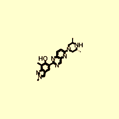 Cc1c(O)c(-c2ncc3nc(N4C[C@@H](C)N[C@H](C)C4)ccc3n2)cc2cn(C)nc12